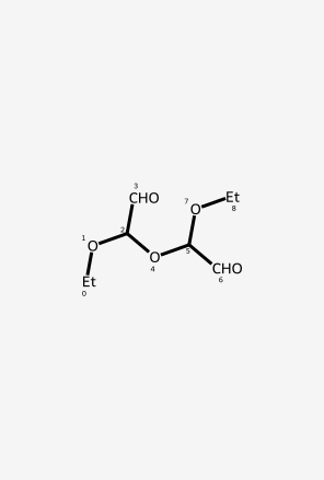 CCOC(C=O)OC(C=O)OCC